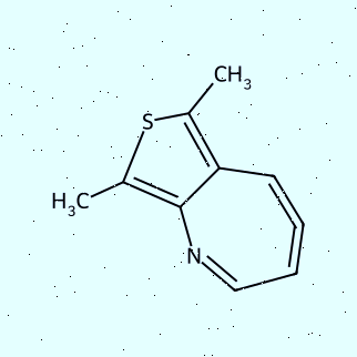 Cc1sc(C)c2c1C=C=CC=N2